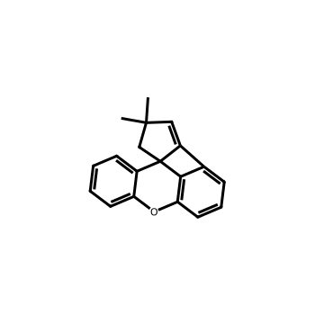 CC1(C)C=C2c3cccc4c3C2(C1)c1ccccc1O4